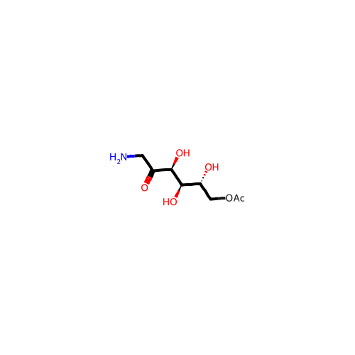 CC(=O)OC[C@@H](O)[C@@H](O)[C@H](O)C(=O)CN